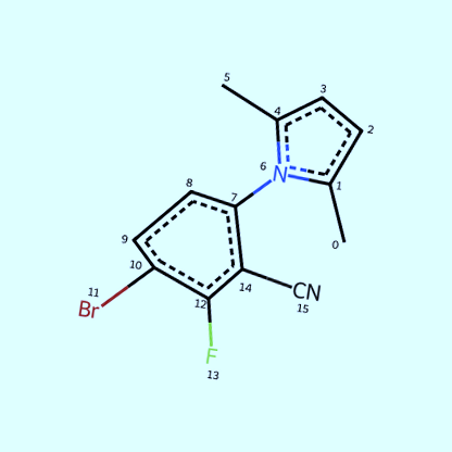 Cc1ccc(C)n1-c1ccc(Br)c(F)c1C#N